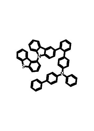 c1ccc(-c2ccc(N(c3ccccc3)c3ccc(-c4ccccc4-c4ccc5c(c4)c4ccccc4n5-c4cccc5sc6ccccc6c45)cc3)cc2)cc1